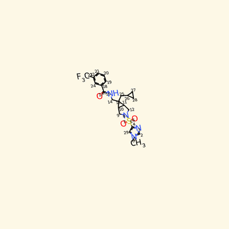 Cn1cnc(S(=O)(=O)N2CC3C(C2)C3(CNC(=O)c2cccc(C(F)(F)F)c2)CC2CC2)c1